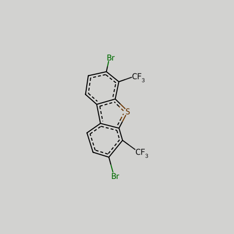 FC(F)(F)c1c(Br)ccc2c1sc1c(C(F)(F)F)c(Br)ccc12